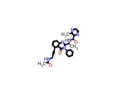 CC(=O)NCC#Cc1cccc2nc([C@H](C)NC(=O)c3nccnc3C)n(-c3ccccc3)c(=O)c12